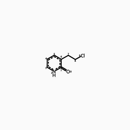 O=c1[nH]cccc1CCCl